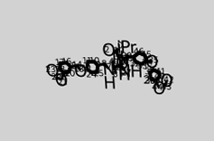 CC(C)C(=O)N(CC(C)(NCc1ccc(OCc2ccc3c(c2)OCO3)cc1)C(N)=O)NCc1ccc(Oc2ccc3c(c2)OCO3)cc1